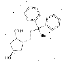 CC(C)(C)[Si](OC[C@@H]1C[C@@H](O)CC1C(=O)O)(c1ccccc1)c1ccccc1